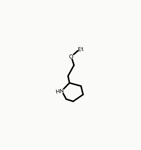 CCOCCC1CCCCN1